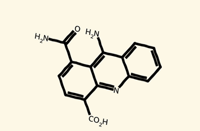 NC(=O)c1ccc(C(=O)O)c2nc3ccccc3c(N)c12